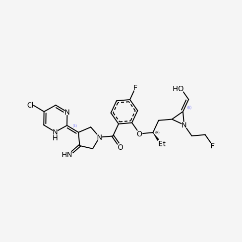 CC[C@H](CC1/C(=C\O)N1CCF)Oc1cc(F)ccc1C(=O)N1CC(=N)/C(=C2/N=CC(Cl)=CN2)C1